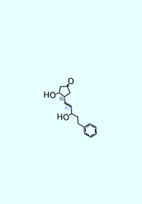 O=C1CC(O)[C@H](/C=C/C(O)CCc2ccccc2)C1